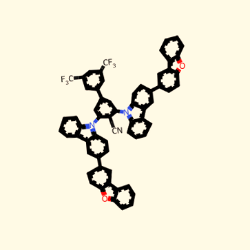 N#Cc1c(-n2c3ccccc3c3cc(-c4ccc5oc6ccccc6c5c4)ccc32)cc(-c2cc(C(F)(F)F)cc(C(F)(F)F)c2)cc1-n1c2ccccc2c2cc(-c3ccc4oc5ccccc5c4c3)ccc21